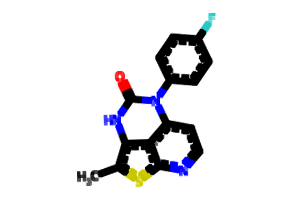 Cc1sc2nccc3c2c1NC(=O)N3c1ccc(F)cc1